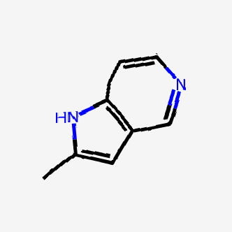 Cc1cc2cn[c]cc2[nH]1